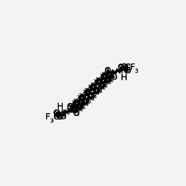 O=C(CCCCN1C(=O)c2ccc3c4ccc5c6ccc7c8ccc9c%10ccc%11c%12ccc%13c%14c(ccc(c%15ccc(c%16ccc(c%17ccc(c%18ccc(c%19ccc(c2c3%19)C1=O)c4c5%18)c6c7%17)c8c9%16)c%10c%11%15)c%14%12)C(=O)N(CCCCC(=O)NS(=O)(=O)C(F)(F)F)C%13=O)NS(=O)(=O)C(F)(F)F